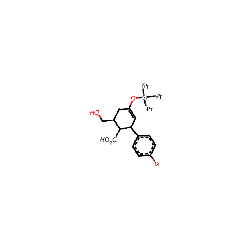 CC(C)[Si](OC1=CC(c2ccc(Br)cc2)C(C(=O)O)[C@@H](CO)C1)(C(C)C)C(C)C